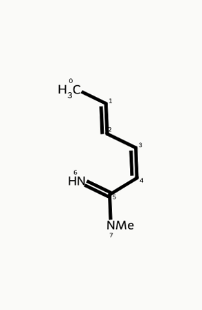 CC=C/C=C\C(=N)NC